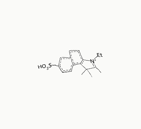 CC[N+]1=C(C)C(C)(C)c2c1ccc1cc(S(=O)(=O)O)ccc21